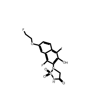 O=C1CN(c2c(O)c(I)c3ccc(OCCF)cc3c2F)S(=O)(=O)N1